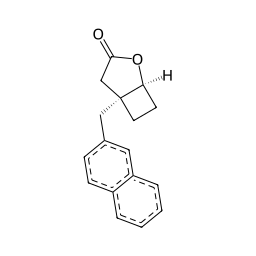 O=C1C[C@]2(Cc3ccc4ccccc4c3)CC[C@@H]2O1